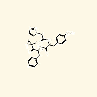 COc1ccc(CC(NC(=O)Cn2ccnn2)C(=O)NC(Cc2ccccc2)C(=O)C2(C)CO2)cc1